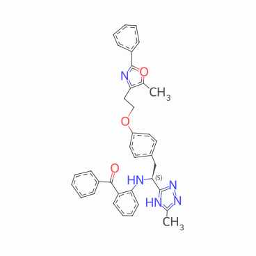 Cc1nnc([C@H](Cc2ccc(OCCc3nc(-c4ccccc4)oc3C)cc2)Nc2ccccc2C(=O)c2ccccc2)[nH]1